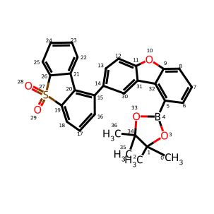 CC1(C)OB(c2cccc3oc4ccc(-c5cccc6c5-c5ccccc5S6(=O)=O)cc4c23)OC1(C)C